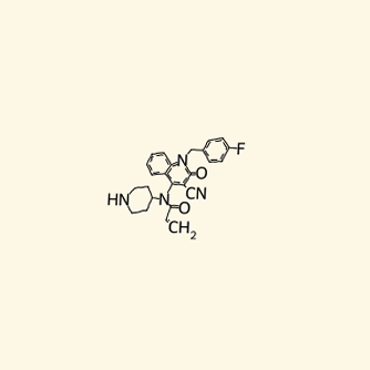 C=CC(=O)N(c1c(C#N)c(=O)n(Cc2ccc(F)cc2)c2ccccc12)C1CCNCC1